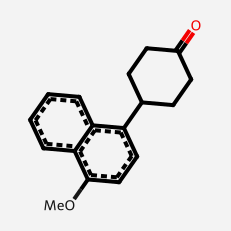 COc1ccc(C2CCC(=O)CC2)c2ccccc12